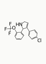 FC(F)(F)Oc1ccccc1C1NCC=C1c1ccc(Cl)cc1